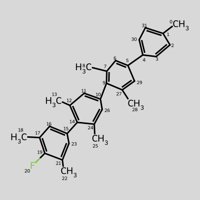 Cc1ccc(-c2cc(C)c(-c3cc(C)c(-c4cc(C)c(F)c(C)c4)c(C)c3)c(C)c2)cc1